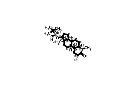 CN1C(=O)[C@H](F)C[C@]2(C)[C@H]3CC[C@]4(C)[C@@H](O[Si](C)(C)C(C)(C)C)CC[C@H]4[C@@H]3CC[C@@H]12